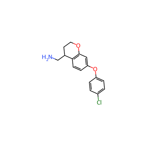 NCC1CCOc2cc(Oc3ccc(Cl)cc3)ccc21